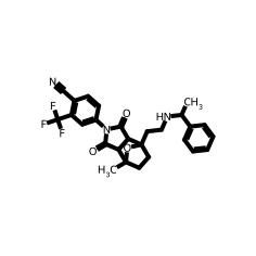 CC(NCCC12CCC(C)(O1)C1C(=O)N(c3ccc(C#N)c(C(F)(F)F)c3)C(=O)C12)c1ccccc1